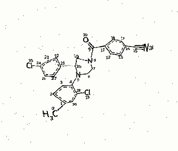 Cc1ccc(N2CCN(C(=O)c3ccc(C#N)cc3)C[C@H]2c2ccc(Cl)cc2)c(Cl)c1